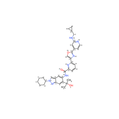 CC(C)(O)c1cc2nn(C3CCCCC3)cc2cc1NC(=O)c1cccc(-c2coc(-c3ccnc(NCC4CC4)c3)n2)n1